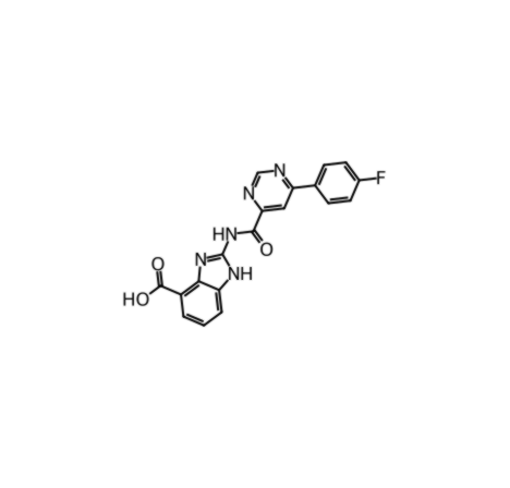 O=C(Nc1nc2c(C(=O)O)cccc2[nH]1)c1cc(-c2ccc(F)cc2)ncn1